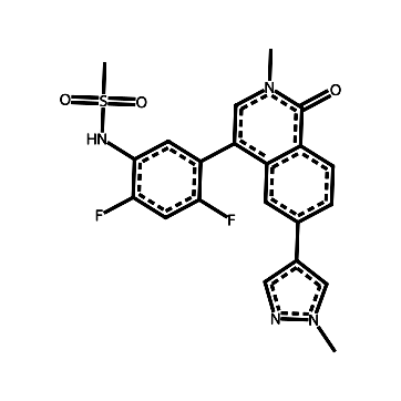 Cn1cc(-c2ccc3c(=O)n(C)cc(-c4cc(NS(C)(=O)=O)c(F)cc4F)c3c2)cn1